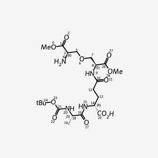 COC(=O)[C@H](N)COC[C@H](NC(=O)CC[C@@H](NC(=O)[C@H](C)NC(=O)OC(C)(C)C)C(=O)O)C(=O)OC